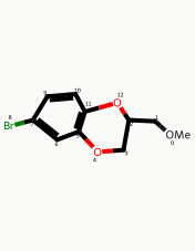 COCC1COc2cc(Br)ccc2O1